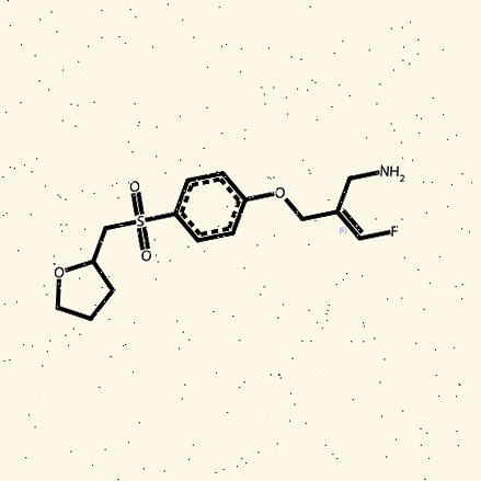 NC/C(=C\F)COc1ccc(S(=O)(=O)CC2CCCO2)cc1